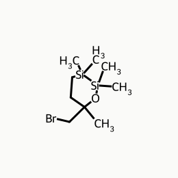 CC1(CBr)CC[Si](C)(C)[Si](C)(C)O1